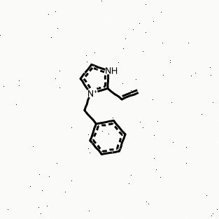 C=Cc1[nH]cc[n+]1Cc1ccccc1